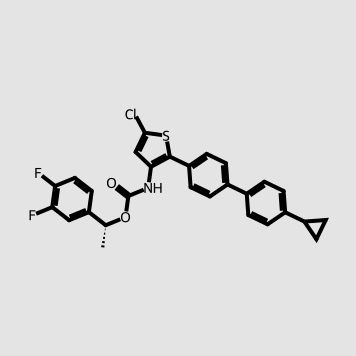 C[C@@H](OC(=O)Nc1cc(Cl)sc1-c1ccc(-c2ccc(C3CC3)cc2)cc1)c1ccc(F)c(F)c1